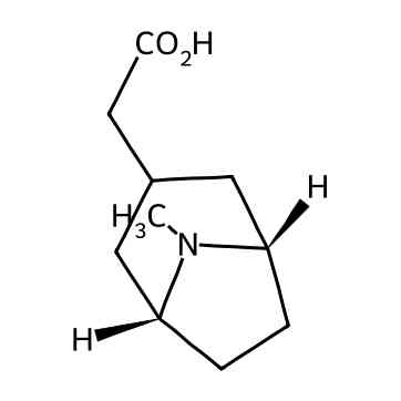 CN1[C@@H]2CC[C@H]1CC(CC(=O)O)C2